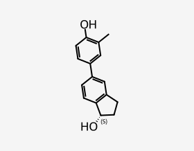 Cc1cc(-c2ccc3c(c2)CC[C@@H]3O)ccc1O